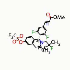 COC(=O)/C=C/c1cc(F)c([C@H]2c3ccc(OS(=O)(=O)C(F)(F)F)cc3C[C@H](C)N2CC(C)(C)F)c(F)c1